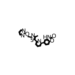 Cc1nc(COc2ncccn2)sc1-c1cccc(-c2ccc3oc(=O)[nH]c3c2)n1